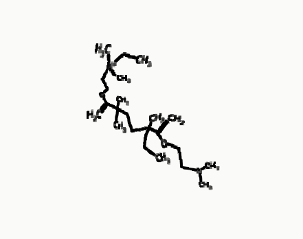 C=C(OCC[N+](C)(C)CC)C(C)(C)CCC(C)(CC)C(=C)OCCN(C)C